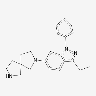 CCc1nn(-c2ccccc2)c2cc(N3CCC4(CCNC4)C3)ccc12